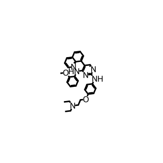 CCN(CC)CCOc1ccc(Nc2ncc(-c3cccc4cccnc34)c(Nc3ccccc3OC)n2)cc1